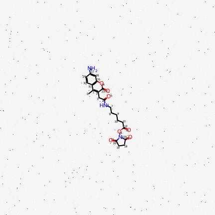 Cc1c(CC(=O)NCCCCCC(=O)ON2C(=O)CCC2=O)c(=O)oc2cc(N)ccc12